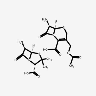 CC(=O)OCC1=C(C(=O)O)N2C(=O)[C@@H](N)[C@H]2SC1.CC1(C)S[C@@H]2[C@H](N)C(=O)N2[C@H]1C(=O)O